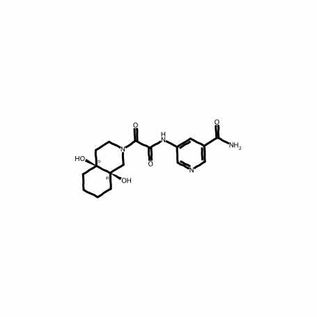 NC(=O)c1cncc(NC(=O)C(=O)N2CC[C@@]3(O)CCCC[C@@]3(O)C2)c1